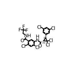 O=C(NCC(F)(F)F)c1cc(NC(=O)[C@@H]2[C@@H](c3cc(Cl)cc(Cl)c3)C2(Cl)Cl)c(Cl)cc1Cl